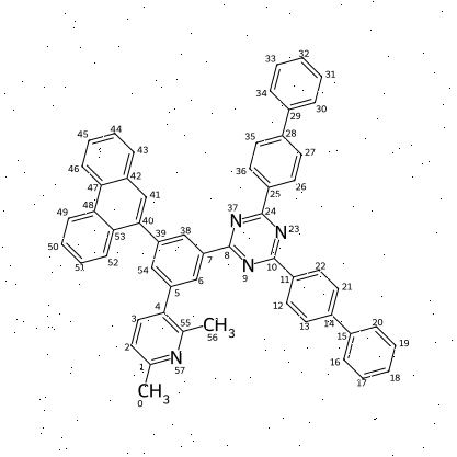 Cc1ccc(-c2cc(-c3nc(-c4ccc(-c5ccccc5)cc4)nc(-c4ccc(-c5ccccc5)cc4)n3)cc(-c3cc4ccccc4c4ccccc34)c2)c(C)n1